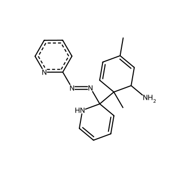 CC1=CC(N)C(C)(C2(N=Nc3ccccn3)C=CC=CN2)C=C1